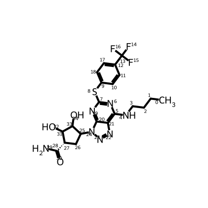 CCCCNc1nc(Sc2ccc(C(F)(F)F)cc2)nc2c1nnn2C1C[C@H](C(N)=O)C(O)C1O